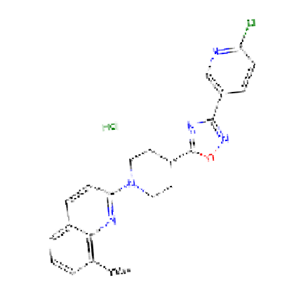 COc1cccc2ccc(N3CCC(c4nc(-c5ccc(Cl)nc5)no4)CC3)nc12.Cl